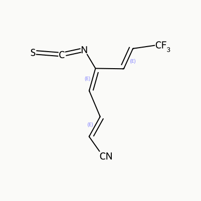 N#C/C=C/C=C(\C=C\C(F)(F)F)N=C=S